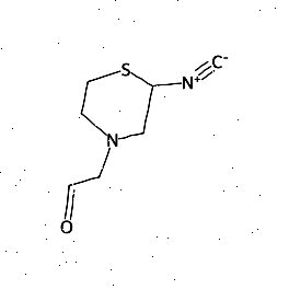 [C-]#[N+]C1CN(CC=O)CCS1